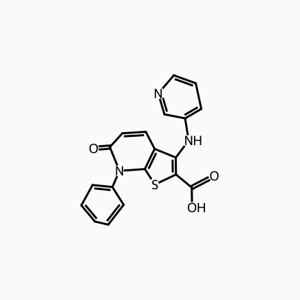 O=C(O)c1sc2c(ccc(=O)n2-c2ccccc2)c1Nc1cccnc1